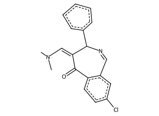 CN(C)C=C1C(=O)c2ccc(Cl)cc2C=NC1c1ccccc1